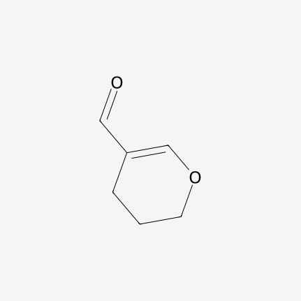 O=CC1=COCCC1